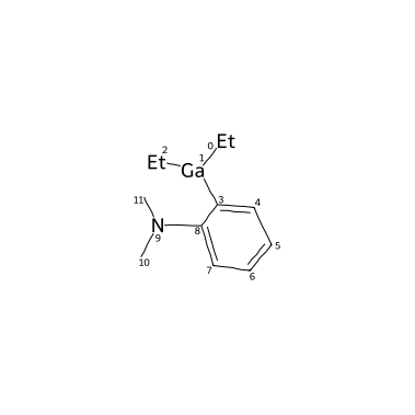 C[CH2][Ga]([CH2]C)[c]1ccccc1N(C)C